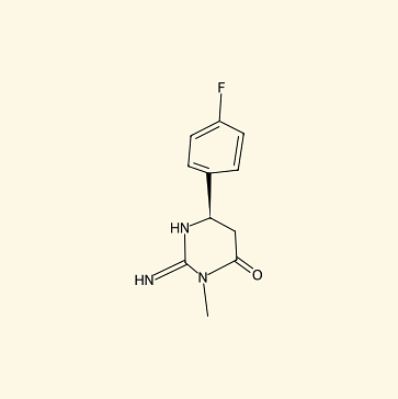 CN1C(=N)N[C@@H](c2ccc(F)cc2)CC1=O